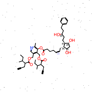 C#CCC(C(=O)OCc1cnc(C)c(OC(=O)CCC/C=C\C[C@@H]2[C@@H](CC[C@@H](O)CCc3ccccc3)[C@H](O)C[C@@H]2O)c1COC(=O)C(CC#C)C(C)CC)C(C)CC